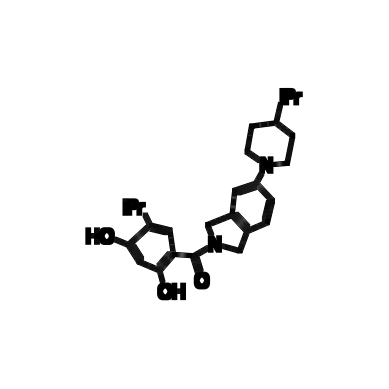 CC(C)c1cc(C(=O)N2Cc3ccc(N4CCC(C(C)C)CC4)cc3C2)c(O)cc1O